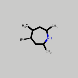 CC1CC(C)[C@H](C(C)C)CC(C)N1